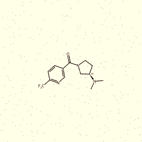 CN(C)[C@@H]1CCN(C(=O)c2ccc(C(F)(F)F)nc2)C1